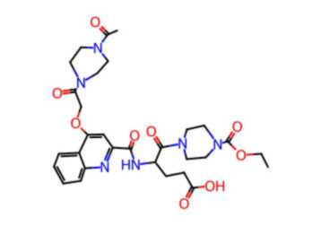 CCOC(=O)N1CCN(C(=O)C(CCC(=O)O)NC(=O)c2cc(OCC(=O)N3CCN(C(C)=O)CC3)c3ccccc3n2)CC1